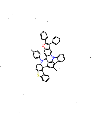 Cc1ccc(N2B3c4cc5oc(-c6ccccc6)c(-c6ccccc6)c5cc4-n4c5ccccc5c5c(C)cc(c3c54)-c3c2ccc2sc4ccccc4c32)cc1